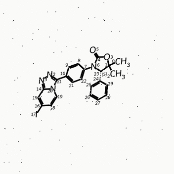 CC1(C)OC(=O)N(c2ccc(-c3nnc4cc(I)ccn34)cc2)[C@H]1c1ccccc1